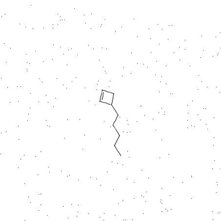 CCCCCC1C=CC1